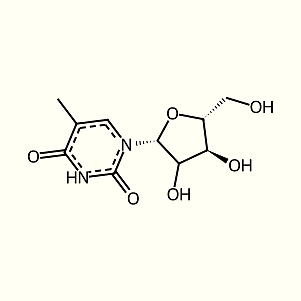 Cc1cn([C@@H]2O[C@H](CO)[C@@H](O)C2O)c(=O)[nH]c1=O